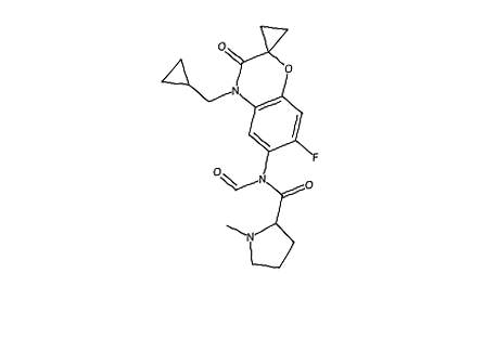 CN1CCCC1C(=O)N(C=O)c1cc2c(cc1F)OC1(CC1)C(=O)N2CC1CC1